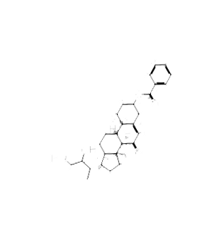 CC(C(O)CO)[C@H]1CC[C@H]2[C@@H]3C(=O)C=C4CC(OC(=O)c5ccccc5)CC[C@]4(C)[C@H]3CC[C@]12C